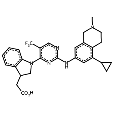 CN1CCc2c(cc(Nc3ncc(C(F)(F)F)c(N4CC(CC(=O)O)c5ccccc54)n3)cc2C2CC2)C1